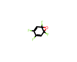 FC1=CC2(F)OC2(F)C=C1F